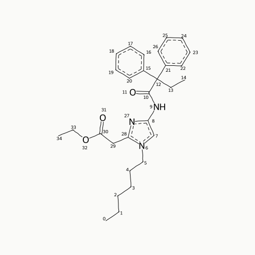 CCCCCCn1cc(NC(=O)C(CC)(c2ccccc2)c2ccccc2)nc1CC(=O)OCC